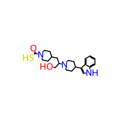 O=C(S)N1CCC(CC(CO)N2CCC(c3c[nH]c4ccccc34)CC2)CC1